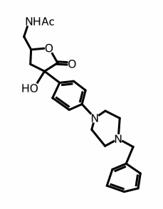 CC(=O)NCC1CC(O)(c2ccc(N3CCN(Cc4ccccc4)CC3)cc2)C(=O)O1